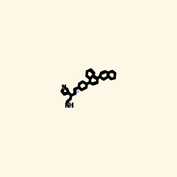 N=CCC(/C=C/C1CCC(C2C=CC(C3C=CC4=C(CCCC4)C3)=C3C=CCCC32)CC1)C1=CC=NC1